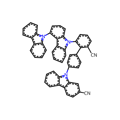 N#Cc1ccc2c3ccccc3n(-c3ccc(-c4c(C#N)cccc4-n4c5ccccc5c5c(-n6c7ccccc7c7ccccc76)cccc54)cc3)c2c1